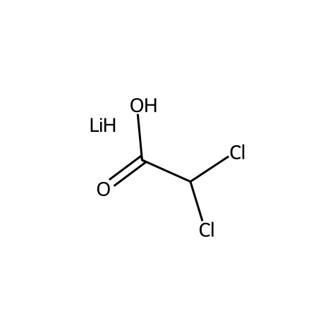 O=C(O)C(Cl)Cl.[LiH]